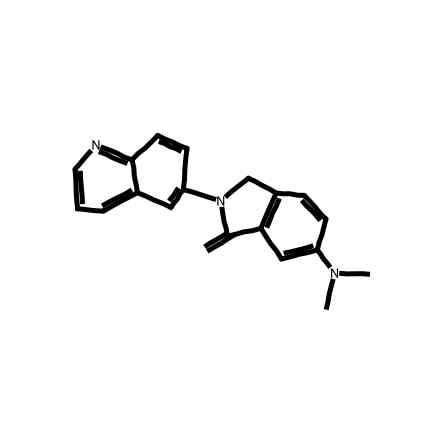 C=C1c2cc(N(C)C)ccc2CN1c1ccc2ncccc2c1